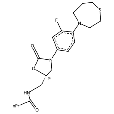 CCCC(=O)NC[C@H]1CN(c2ccc(N3CCCSCC3)c(F)c2)C(=O)O1